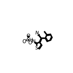 Cc1ccccc1/C(C#N)=C1\C=CS\C1=N/O[SH](=O)=O